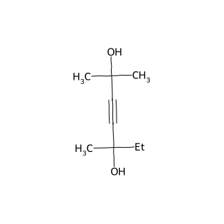 CCC(C)(O)C#CC(C)(C)O